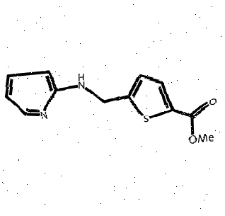 COC(=O)c1ccc(CNc2ccccn2)s1